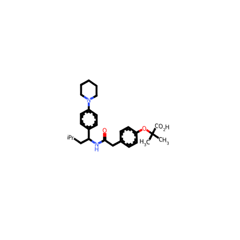 CC(C)CC(NC(=O)Cc1ccc(OC(C)(C)C(=O)O)cc1)c1ccc(N2CCCCC2)cc1